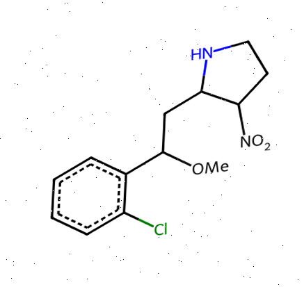 COC(CC1NCCC1[N+](=O)[O-])c1ccccc1Cl